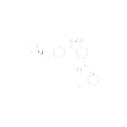 CC(C)C[C@H](NC(=O)c1ccc2[nH]nc(-c3ccc(OC4CC5CCC(C4)N5C=O)cc3)c2c1)c1ccccn1